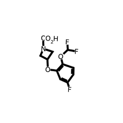 O=C(O)N1CC(Oc2cc(F)ccc2OC(F)F)C1